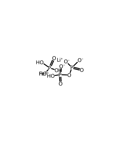 O=P(O)(O)O.O=P([O-])([O-])OP(=O)([O-])O.[Fe+2].[Li+]